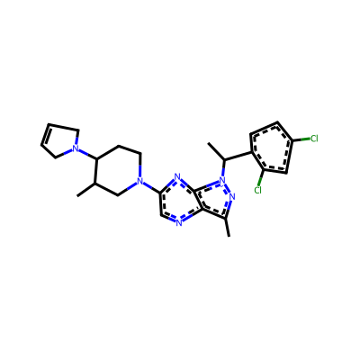 Cc1nn(C(C)c2ccc(Cl)cc2Cl)c2nc(N3CCC(N4CC=CC4)C(C)C3)cnc12